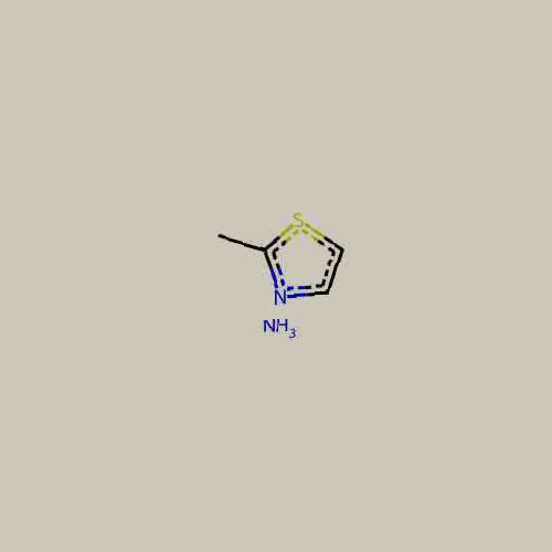 Cc1nccs1.N